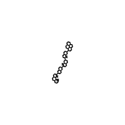 c1cnc2c(c1)ccc1ccc(-c3ccc4cc(-c5ccc6ccc(-c7ccc8ccc(-c9ccc%10ccc%11cccc%12ccc9c%10c%11%12)cc8n7)cc6n5)ccc4c3)nc12